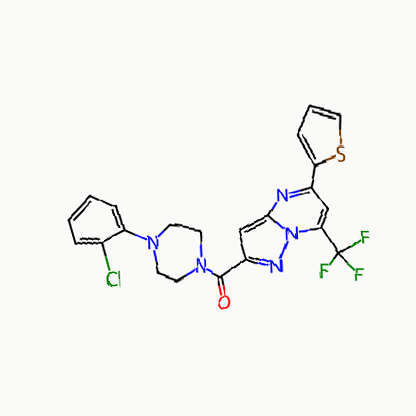 O=C(c1cc2nc(-c3cccs3)cc(C(F)(F)F)n2n1)N1CCN(c2ccccc2Cl)CC1